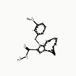 COc1cccc(Cn2c(C(=O)ON)cc3ccccc32)c1